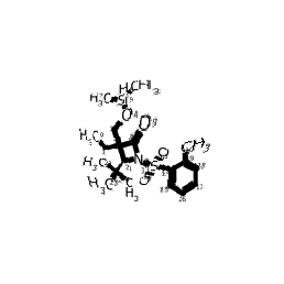 CCC1(CO[SiH](C)C)C(=O)N(S(=O)(=O)c2ccccc2C)[C@H]1C(C)(C)C